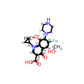 CO.COc1c(N2CCNCC2)c(F)cc2c(=O)c(C(=O)O)cn(C3CC3)c12